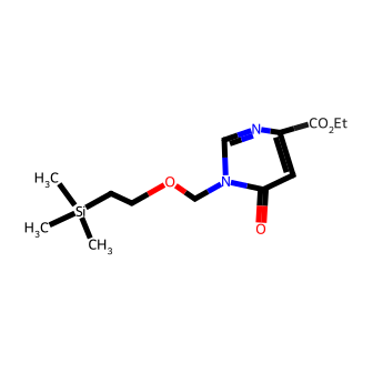 CCOC(=O)c1cc(=O)n(COCC[Si](C)(C)C)cn1